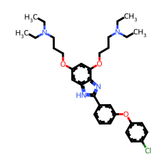 CCN(CC)CCCOc1cc(OCCCN(CC)CC)c2nc(-c3cccc(Oc4ccc(Cl)cc4)c3)[nH]c2c1